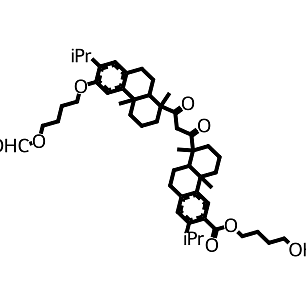 CC(C)c1cc2c(cc1OCCCCOC=O)C1(C)CCCC(C)(C(=O)CC(=O)C3(C)CCCC4(C)c5cc(C(=O)OCCCCO)c(C(C)C)cc5CCC34)C1CC2